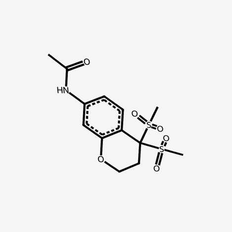 CC(=O)Nc1ccc2c(c1)OCCC2(S(C)(=O)=O)S(C)(=O)=O